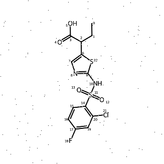 CCC(C(=O)O)c1cnc(NS(=O)(=O)c2ccc(F)cc2Cl)s1